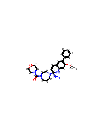 COc1cc2c(cc1-c1ccccc1)C=CC(N)(N1CCCN(C(=O)N3CCOCC3)CC1)N2